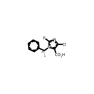 C[C@H](c1ccccc1)n1c(F)nc(Cl)c1C(=O)O